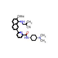 C=C(C#N)CNc1c(OC)ccc2ccc(-c3cccc(C(=O)N[C@H]4CC[C@@H](N(C)C)CC4)n3)cc12